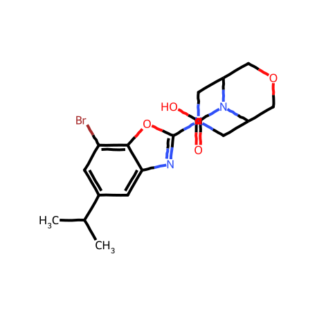 CC(C)c1cc(Br)c2oc(N3CC4COCC(C3)N4C(=O)O)nc2c1